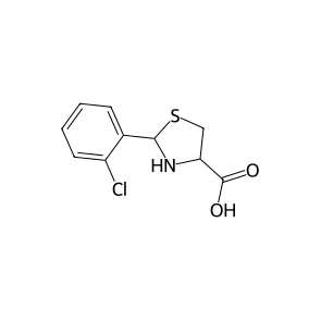 O=C(O)C1CSC(c2ccccc2Cl)N1